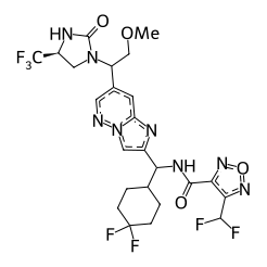 COCC(c1cnn2cc(C(NC(=O)c3nonc3C(F)F)C3CCC(F)(F)CC3)nc2c1)N1C[C@@H](C(F)(F)F)NC1=O